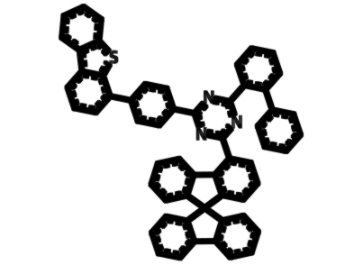 c1ccc(-c2ccccc2-c2nc(-c3ccc(-c4cccc5c4sc4ccccc45)cc3)nc(-c3cccc4c3-c3ccccc3C43c4ccccc4-c4ccccc43)n2)cc1